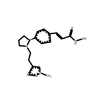 Cn1cc(CCN2CCC[C@H]2c2ccc(C=CC(=O)NO)cc2)nn1